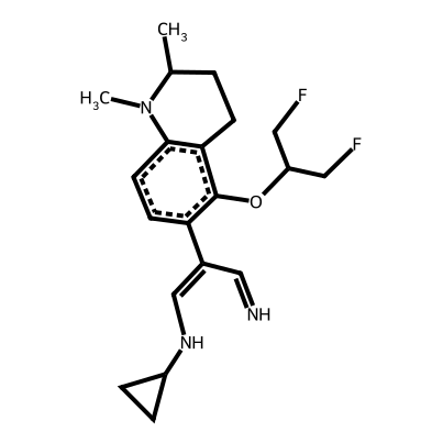 CC1CCc2c(ccc(/C(C=N)=C/NC3CC3)c2OC(CF)CF)N1C